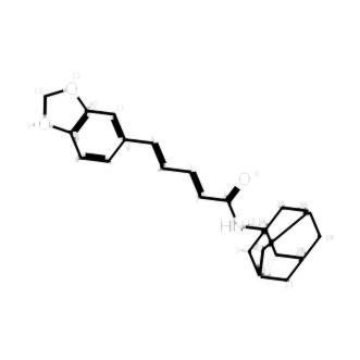 O=C(/C=C/C=C/c1ccc2c(c1)OCO2)NC12CC3CC(CC(C3)C1)C2